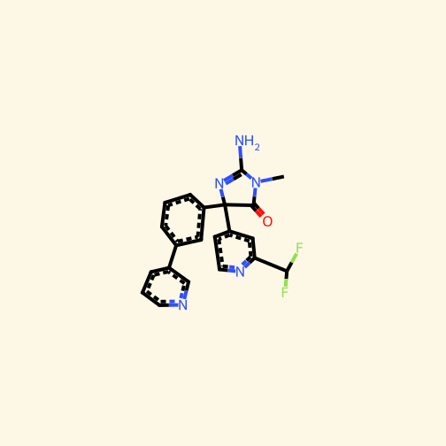 CN1C(=O)C(c2cccc(-c3cccnc3)c2)(c2ccnc(C(F)F)c2)N=C1N